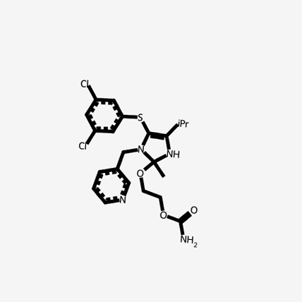 CC(C)C1=C(Sc2cc(Cl)cc(Cl)c2)N(Cc2cccnc2)C(C)(OCCOC(N)=O)N1